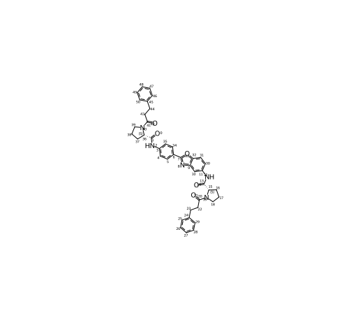 O=C(Nc1ccc(-c2nc3cc(NC(=O)[C@@H]4CCCN4C(=O)CCc4ccccc4)ccc3o2)cc1)[C@@H]1CCCN1C(=O)CCc1ccccc1